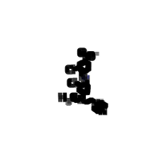 CCN(CC[N+]12CCN(CC1)CC2)c1ccc(/N=N/c2ccc([N+](=O)[O-])cc2Cl)c(Cl)c1